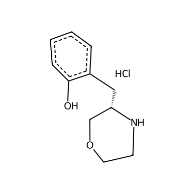 Cl.Oc1ccccc1C[C@H]1COCCN1